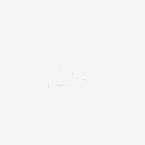 CC(C)(C)C1(CBr)COC1